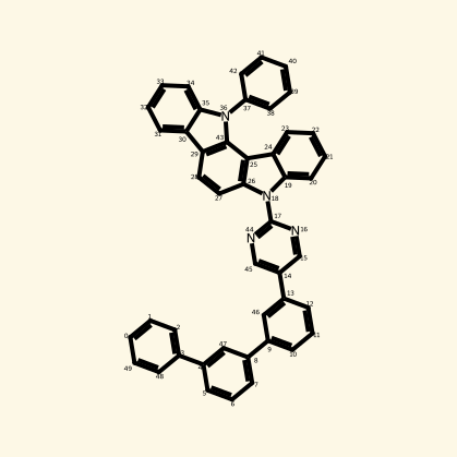 c1ccc(-c2cccc(-c3cccc(-c4cnc(-n5c6ccccc6c6c5ccc5c7ccccc7n(-c7ccccc7)c56)nc4)c3)c2)cc1